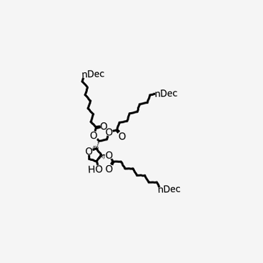 CCCCCCCCCCCCCCCCCC(=O)OCC(OC(=O)CCCCCCCCCCCCCCCCC)[C@H]1OCC(O)[C@H]1OC(=O)CCCCCCCCCCCCCCCCC